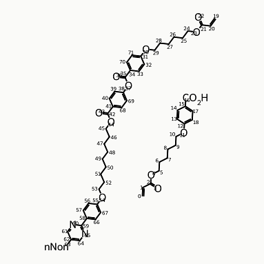 C=CC(=O)OCCCCCCOc1ccc(C(=O)O)cc1.C=CC(=O)OCCCCCCOc1ccc(C(=O)Oc2ccc(C(=O)OCCCCCCCCCOc3ccc(-c4ncc(CCCCCCCCC)cn4)cc3)cc2)cc1